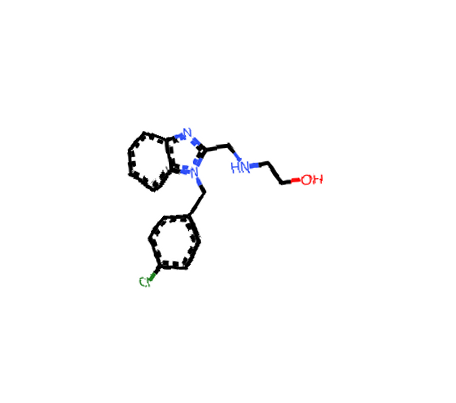 OCCNCc1nc2ccccc2n1Cc1ccc(Cl)cc1